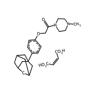 CN1CCN(C(=O)COc2ccc(C34CC5CC(CC(C5)C3)C4)cc2)CC1.O=C(O)/C=C\C(=O)O